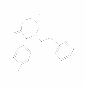 Cl.O=C1OCCN(CCc2ccccc2)[C@@H]1c1ccc(F)cc1